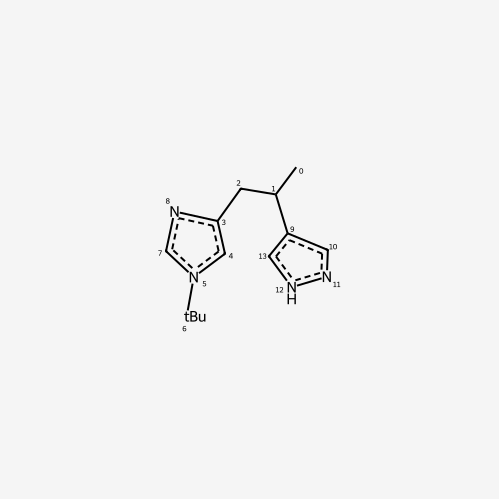 CC(Cc1cn(C(C)(C)C)cn1)c1cn[nH]c1